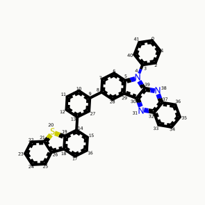 c1ccc(-n2c3ccc(-c4cccc(-c5cccc6c5sc5ccccc56)c4)cc3c3nc4ccccc4nc32)cc1